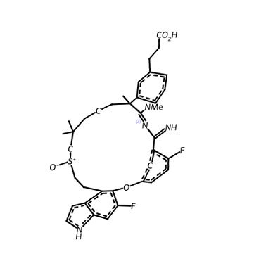 CN/C1=N\C(=N)c2cc(ccc2F)Oc2c(F)cc3[nH]ccc3c2CC[S+]([O-])CC(C)(C)CCCC1(C)c1cccc(CCC(=O)O)c1